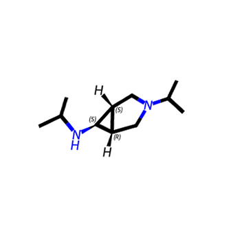 CC(C)N[C@H]1[C@@H]2CN(C(C)C)C[C@@H]21